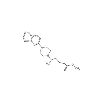 COC(=O)CCCC(C)N1CCN(c2ccc3ccccc3n2)CC1